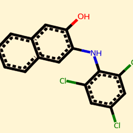 Oc1cc2ccccc2cc1Nc1c(Cl)cc(Cl)cc1Cl